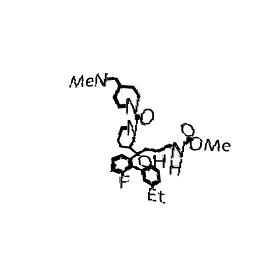 CCc1cccc(-c2c(F)cccc2C(O)(CCCNC(=O)OC)C2CCCN(C(=O)N3CCC(CNC)CC3)C2)c1